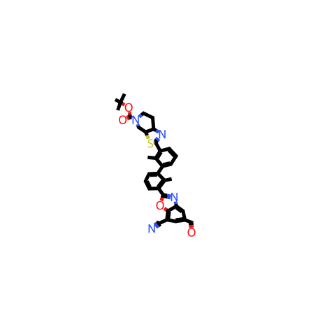 Cc1c(C2=NC3CCN(C(=O)OC(C)(C)C)CC3S2)cccc1-c1cccc(-c2nc3cc(C=O)cc(C#N)c3o2)c1C